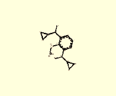 CC(c1cccc(C(C)C2CC2)c1OC(C)(C)C)C1CC1